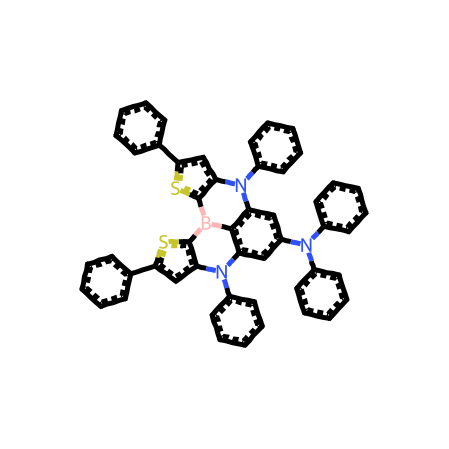 c1ccc(-c2cc3c(s2)B2c4sc(-c5ccccc5)cc4N(c4ccccc4)c4cc(N(c5ccccc5)c5ccccc5)cc(c42)N3c2ccccc2)cc1